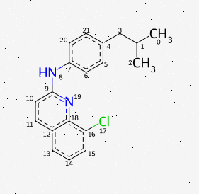 CC(C)Cc1ccc(Nc2ccc3cccc(Cl)c3n2)cc1